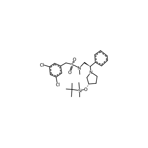 CN(C[C@@H](c1ccccc1)N1CC[C@H](O[Si](C)(C)C(C)(C)C)C1)S(=O)(=O)Cc1cc(Cl)cc(Cl)c1